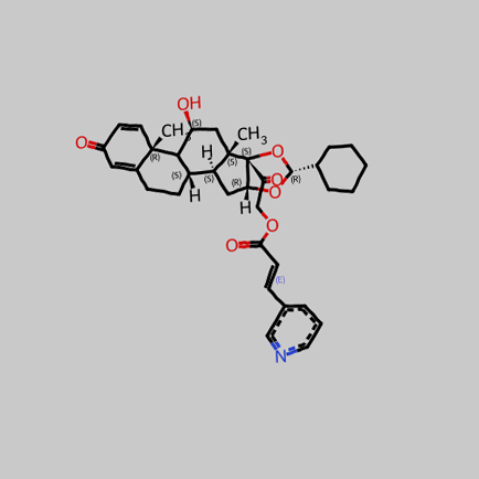 C[C@]12C=CC(=O)C=C1CC[C@@H]1C2[C@@H](O)C[C@@]2(C)[C@H]1C[C@H]1O[C@@H](C3CCCCC3)O[C@]12C(=O)COC(=O)/C=C/c1cccnc1